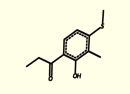 CCC(=O)c1ccc(SC)c(C)c1O